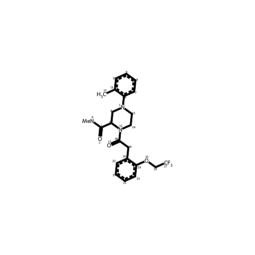 CNC(=O)C1CN(c2ccccc2C)CCN1C(=O)Cc1ccccc1OCC(F)(F)F